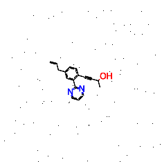 C=CCc1ccc(C#CC(C)O)c(-c2ncccn2)c1